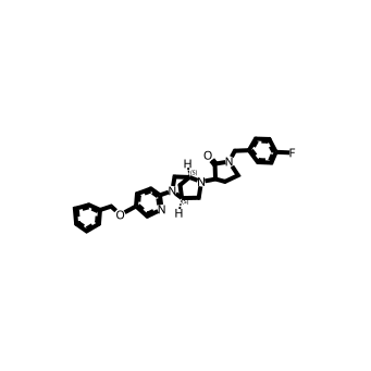 O=C1C(N2C[C@@H]3C[C@H]2CN3c2ccc(OCc3ccccc3)cn2)CCN1Cc1ccc(F)cc1